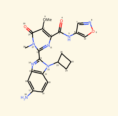 COc1c(C(=O)Nc2cnoc2)nc(-c2nc3cc(N)ccc3n2C2CCC2)n(C)c1=O